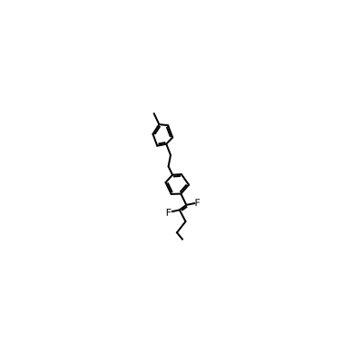 CCCC(F)=C(F)c1ccc(CCc2ccc(C)cc2)cc1